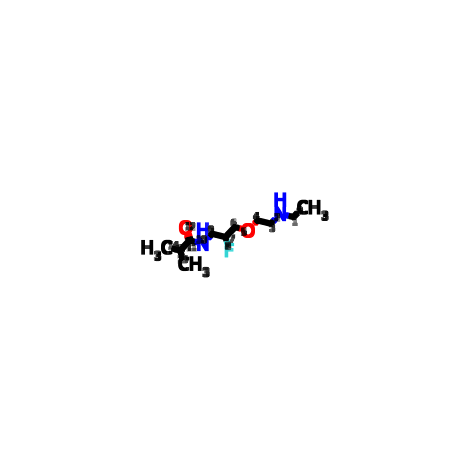 CCNCCOCC(F)CNC(=O)C(C)C